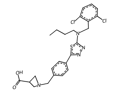 CCCCN(Cc1c(Cl)cccc1Cl)c1nnc(-c2ccc(CN3CC(C(=O)O)C3)cc2)s1